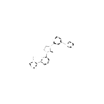 CC(C)n1cnnc1-c1cccc(N2CCN(c3cc(-n4ccnc4)ccn3)C2=O)n1